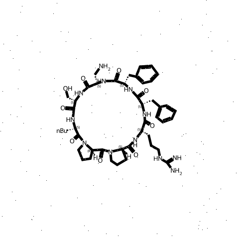 CCCC[C@@H]1NC(=O)[C@H](CO)NC(=O)[C@H](CN)NC(=O)[C@H](Cc2ccccc2)NC(=O)[C@H](Cc2ccccc2)NC(=O)[C@H](CCCNC(=N)N)NC(=O)[C@@H]2CCCN2C(=O)[C@H]2CCCN2C1=O